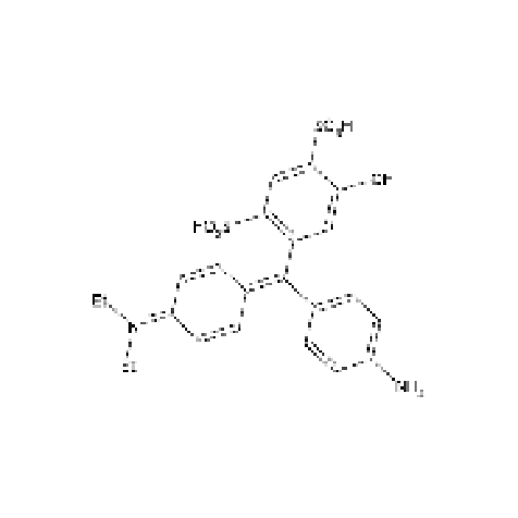 CC[N+](CC)=C1C=CC(=C(c2ccc(N)cc2)c2cc(O)c(S(=O)(=O)O)cc2S(=O)(=O)O)C=C1